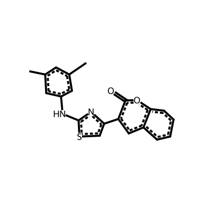 Cc1cc(C)cc(Nc2nc(-c3cc4ccccc4oc3=O)cs2)c1